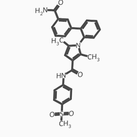 Cc1cc(C(=O)Nc2ccc(S(C)(=O)=O)cc2)c(C)n1-c1ccccc1-c1cccc(C(N)=O)c1